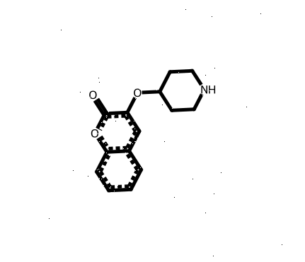 O=c1oc2ccccc2cc1OC1CCNCC1